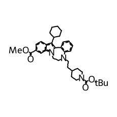 COC(=O)c1ccc2c(C3CCCCC3)c3n(c2c1)CCN(CCC1CCN(C(=O)OC(C)(C)C)CC1)c1ccccc1-3